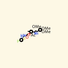 COc1cc(C2=NN(C(C)=O)C(c3ccc(C)c(OCC(=O)Nc4nc5cc(F)ccc5s4)c3)C2)cc(OC)c1OC